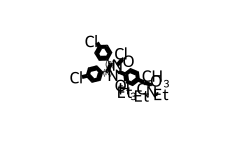 CCOc1cc(C(C)(C)C(=O)N(CC)CC)ccc1C1=N[C@H](c2ccc(Cl)cc2)[C@H](c2ccc(Cl)cc2)N1C(=O)Cl